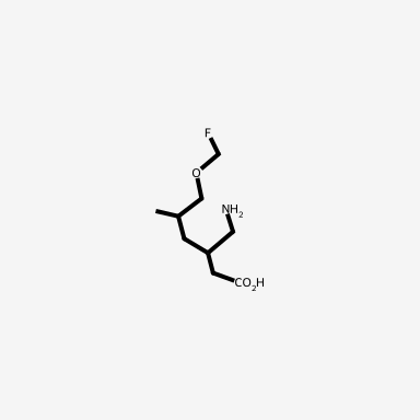 CC(COCF)CC(CN)CC(=O)O